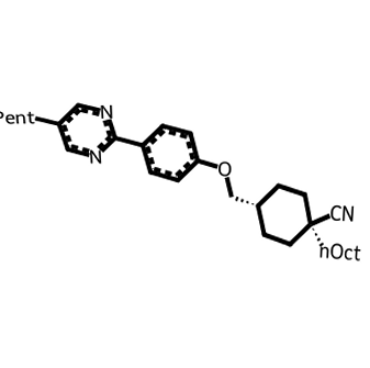 CCCCCCCC[C@]1(C#N)CC[C@H](COc2ccc(-c3ncc(CCCCC)cn3)cc2)CC1